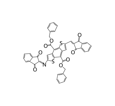 O=C1C(=Cc2cc3c(C(=O)OCc4ccccc4)c4sc(N=c5c(=O)c6ccccc6c5=O)cc4c(C(=O)OCc4ccccc4)c3s2)C(=O)c2ccccc21